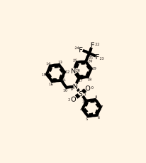 O=S(=O)(c1ccccc1)N(Cc1ccccc1)c1ccc(C(F)(F)F)cn1